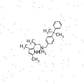 C=C(CN(C)Cc1ccc(C(C)(C)c2ccccc2)cc1)c1[nH]c(C)cc1C